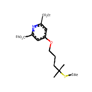 CCOC(=O)c1cc(OCCCC(C)(C)SSC)cc(C(=O)OCC)n1